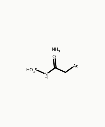 CC(=O)CC(=O)NS(=O)(=O)O.N